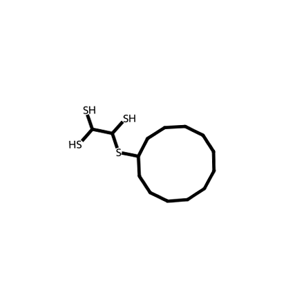 SC(S)C(S)SC1CCCCCCCCCCC1